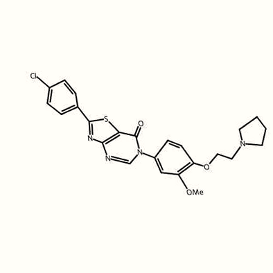 COc1cc(-n2cnc3nc(-c4ccc(Cl)cc4)sc3c2=O)ccc1OCCN1CCCC1